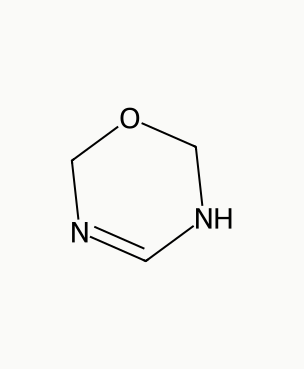 C1=NCOCN1